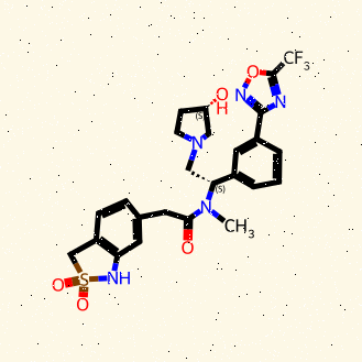 CN(C(=O)Cc1ccc2c(c1)NS(=O)(=O)C2)[C@H](CN1CC[C@H](O)C1)c1cccc(-c2noc(C(F)(F)F)n2)c1